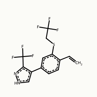 C=Cc1ccc(-c2c[nH]nc2C(F)(F)F)cc1SCC(F)(F)F